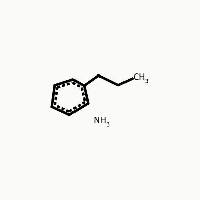 CCCc1ccccc1.N